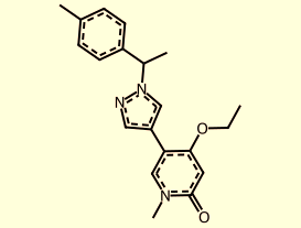 CCOc1cc(=O)n(C)cc1-c1cnn(C(C)c2ccc(C)cc2)c1